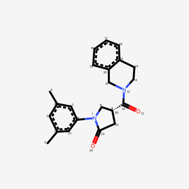 Cc1cc(C)cc(N2C[C@H](C(=O)N3CCc4ccccc4C3)CC2=O)c1